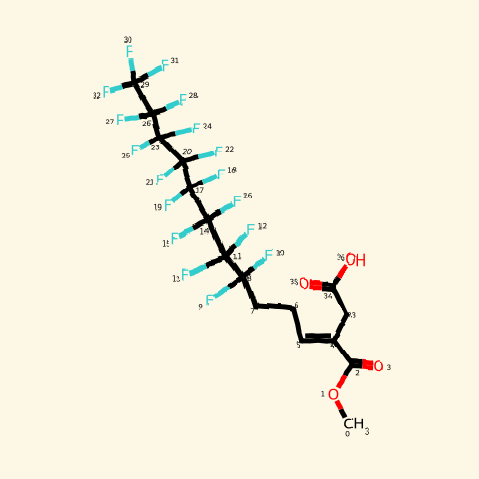 COC(=O)C(=CCCC(F)(F)C(F)(F)C(F)(F)C(F)(F)C(F)(F)C(F)(F)C(F)(F)C(F)(F)F)CC(=O)O